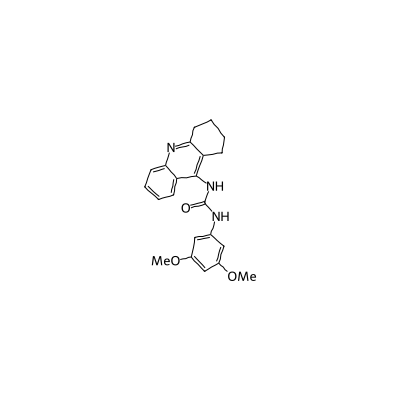 COc1cc(NC(=O)Nc2c3c(nc4ccccc24)CCCC3)cc(OC)c1